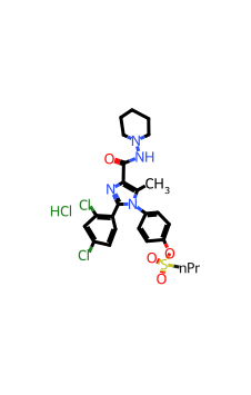 CCCS(=O)(=O)Oc1ccc(-n2c(-c3ccc(Cl)cc3Cl)nc(C(=O)NN3CCCCC3)c2C)cc1.Cl